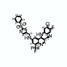 N#Cc1cnc2c(C(F)(F)F)cc(NCc3cnc(S(=O)(=O)c4ccccc4)s3)cc2c1Nc1ccc(F)c(Cl)c1